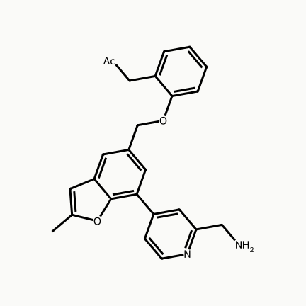 CC(=O)Cc1ccccc1OCc1cc(-c2ccnc(CN)c2)c2oc(C)cc2c1